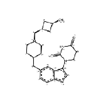 C[C@H]1C[C@@H](CN2CCC(Cc3ccn4ncc(N5CCC(=O)NC5=O)c4c3)CC2)C1